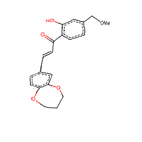 COCc1ccc(C(=O)C=Cc2ccc3c(c2)OCCCO3)c(O)c1